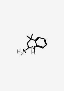 CC1(C)CC(N)Nc2ccccc21